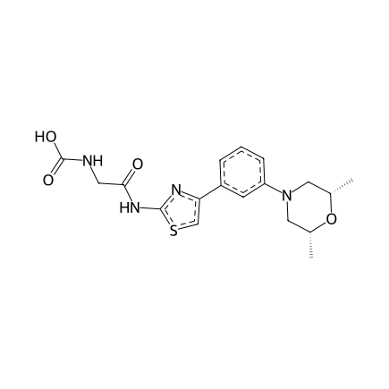 C[C@@H]1CN(c2cccc(-c3csc(NC(=O)CNC(=O)O)n3)c2)C[C@H](C)O1